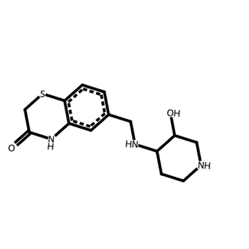 O=C1CSc2ccc(CNC3CCNCC3O)cc2N1